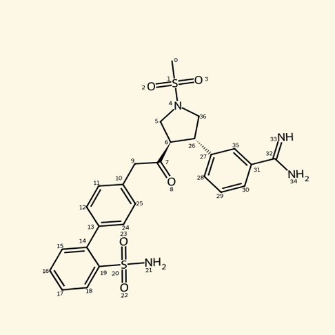 CS(=O)(=O)N1C[C@H](C(=O)Cc2ccc(-c3ccccc3S(N)(=O)=O)cc2)[C@@H](c2cccc(C(=N)N)c2)C1